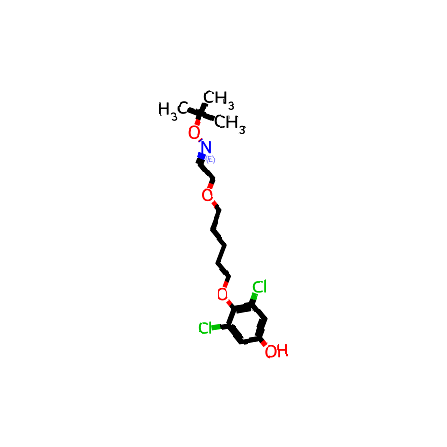 CC(C)(C)O/N=C/COCCCCCOc1c(Cl)cc(O)cc1Cl